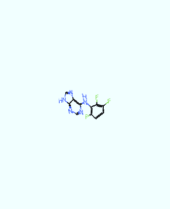 Fc1ccc(F)c(Nc2ncnc3[nH]cnc23)c1F